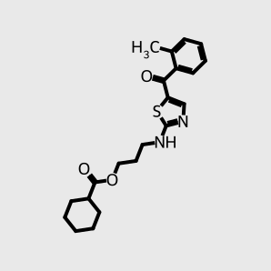 Cc1ccccc1C(=O)c1cnc(NCCCOC(=O)C2CCCCC2)s1